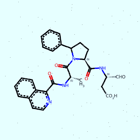 C[C@H](NC(=O)c1nccc2ccccc12)C(=O)N1C(c2ccccc2)CC[C@H]1C(=O)N[C@H](C=O)CC(=O)O